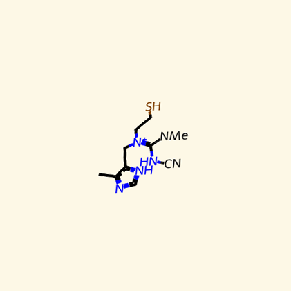 CNC(NC#N)=[N+](CCS)Cc1[nH]cnc1C